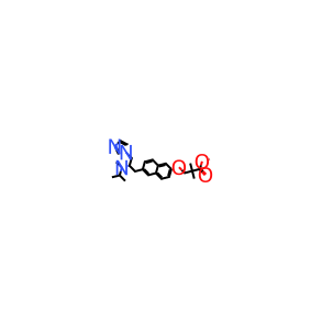 COC(=O)C(C)(C)COc1ccc2cc(CC(Cn3ccnc3)N(C)C(C)C)ccc2c1